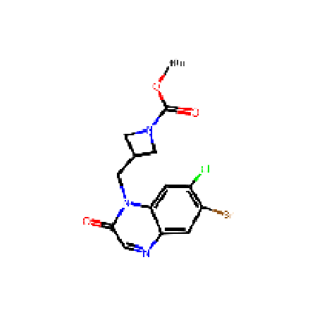 CC(C)(C)OC(=O)N1CC(Cn2c(=O)cnc3cc(Br)c(Cl)cc32)C1